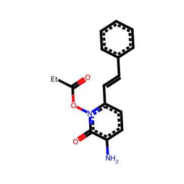 CCC(=O)On1c(C=Cc2ccccc2)ccc(N)c1=O